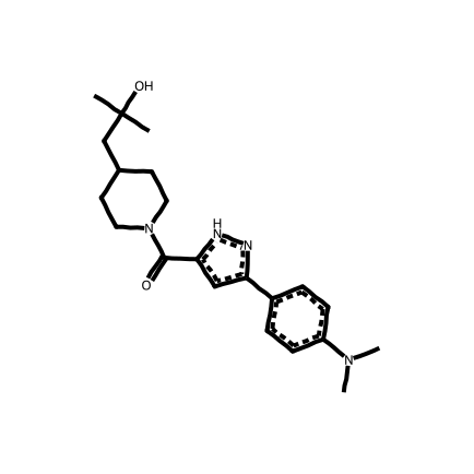 CN(C)c1ccc(-c2cc(C(=O)N3CCC(CC(C)(C)O)CC3)[nH]n2)cc1